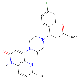 COC(=O)CC(c1ccc(F)cc1)N1CCN(c2cc(=O)n(C)c3ccc(C#N)nc23)C(C)C1